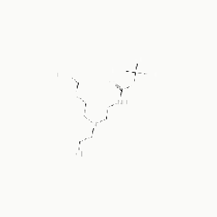 CCCN(CCNC(=O)OC(C)(C)C)CCSCC